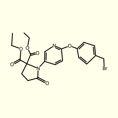 CCOC(=O)C1(C(=O)OCC)CCC(=O)N1c1ccc(Oc2ccc(CBr)cc2)nc1